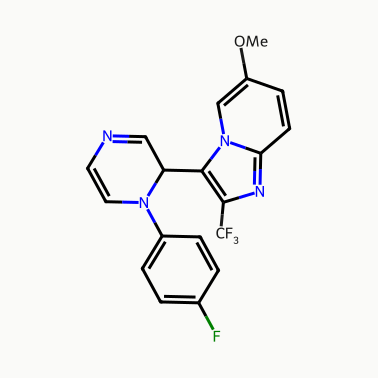 COc1ccc2nc(C(F)(F)F)c(C3C=NC=CN3c3ccc(F)cc3)n2c1